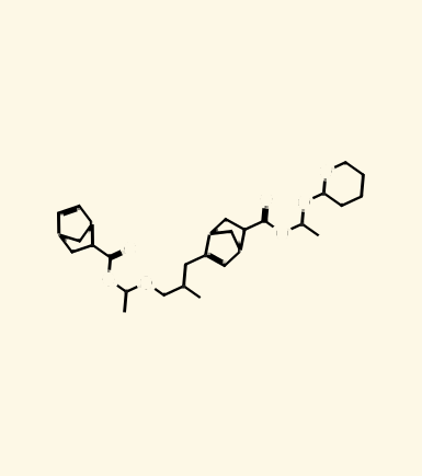 CC(COC(C)OC(=O)C1CC2C=CC1C2)CC1=CC2CC1CC2C(=O)OC(C)OC1CCCCO1